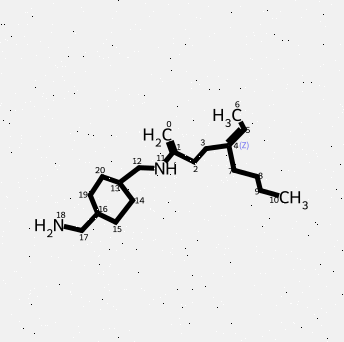 C=C(CC/C(=C\C)CCCC)NCC1CCC(CN)CC1